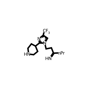 CCCC(=N)CCn1cc(C(F)(F)F)nc1C1CCNCC1